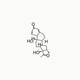 CC(=O)[C@@]1(O)[C@H](C)C[C@H]2[C@@H]3CCC4=CC(=O)C=C[C@]4(C)[C@H]3[C@@H](O)C[C@@]21C